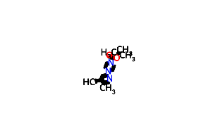 C#Cc1cc(N2CCN(C(=O)OC(C)(C)C)CC2)ncc1C